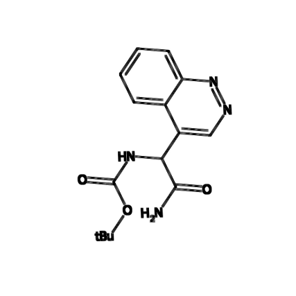 CC(C)(C)OC(=O)NC(C(N)=O)c1cnnc2ccccc12